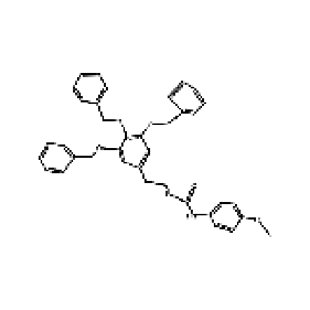 COc1ccc(NC(=O)NCCc2cc(OCc3ccccc3)c(OCc3ccccc3)c(OCc3ccccc3)c2)cc1